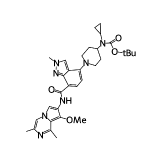 COc1c(NC(=O)c2ccc(N3CCC(N(C(=O)OC(C)(C)C)C4CC4)CC3)c3cn(C)nc23)cn2cc(C)nc(C)c12